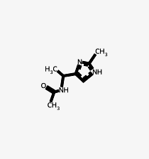 CC(=O)NC(C)c1c[nH]c(C)n1